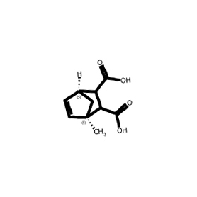 C[C@]12C=C[C@H](C1)C(C(=O)O)C2C(=O)O